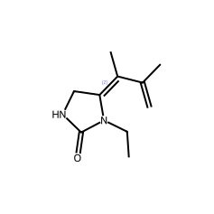 C=C(C)/C(C)=C1/CNC(=O)N1CC